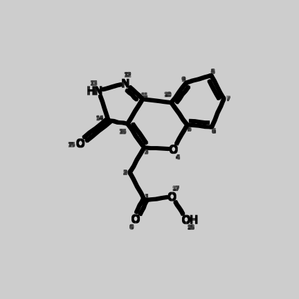 O=C(Cc1oc2ccccc2c2n[nH]c(=O)c1-2)OO